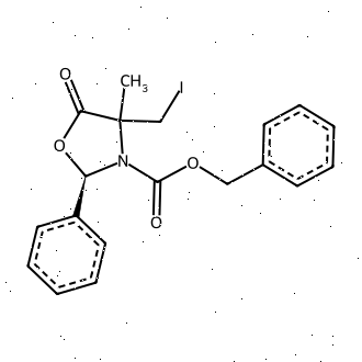 CC1(CI)C(=O)O[C@H](c2ccccc2)N1C(=O)OCc1ccccc1